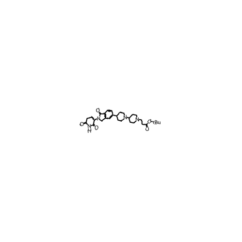 CC(C)(C)OC(=O)CCN1CCC(N2CCC(c3ccc4c(c3)CN(C3CCC(=O)NC3=O)C4=O)CC2)CC1